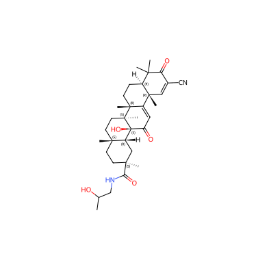 CC(O)CNC(=O)[C@@]1(C)CC[C@]2(C)CC[C@@]3(C)[C@]4(C)CC[C@H]5C(C)(C)C(=O)C(C#N)=C[C@]5(C)C4=CC(=O)[C@]3(O)[C@@H]2C1